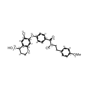 COc1ccc(CCN(Cl)C(=O)c2ccc(Oc3cc4c(cc3Cl)C(C(=O)O)CCO4)cc2)cc1